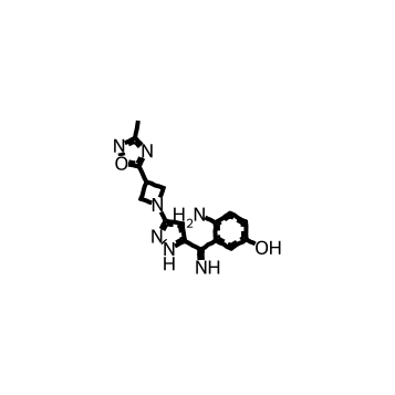 Cc1noc(C2CN(c3cc(C(=N)c4cc(O)ccc4N)[nH]n3)C2)n1